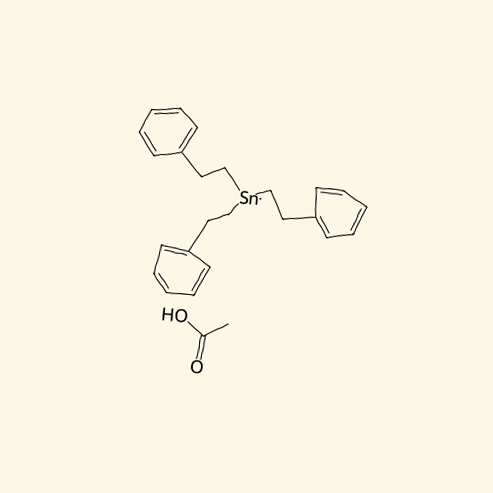 CC(=O)O.c1ccc(C[CH2][Sn]([CH2]Cc2ccccc2)[CH2]Cc2ccccc2)cc1